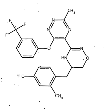 Cc1ccc(CC2CON=C(c3nc(C)nnc3Oc3cccc(C(F)(F)F)c3)N2)c(C)c1